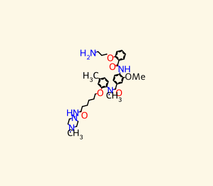 COc1cc(C(=O)N(C)c2ccc(C)cc2OCCCCCC(=O)NN2CCN(C)CC2)ccc1NC(=O)c1ccccc1OCCCN